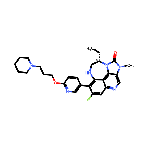 CC[C@H]1CNc2c(-c3ccc(OCCCN4CCCCC4)nc3)c(F)cc3ncc4c(c23)n1c(=O)n4C